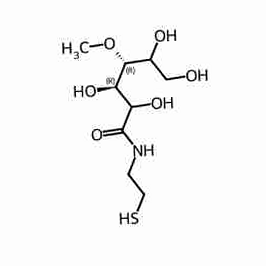 CO[C@H](C(O)CO)[C@H](O)C(O)C(=O)NCCS